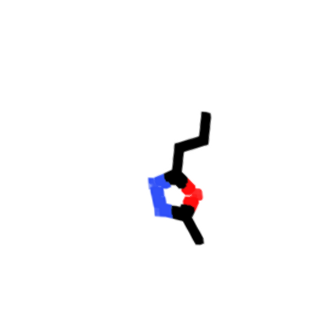 CCCc1nnc(C)o1